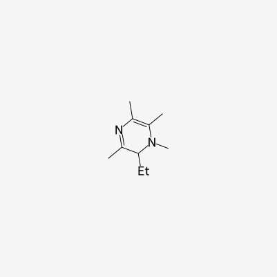 CCC1C(C)=NC(C)=C(C)N1C